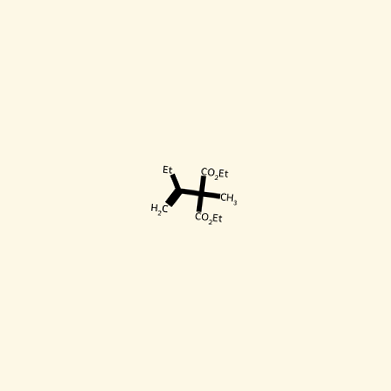 C=C(CC)C(C)(C(=O)OCC)C(=O)OCC